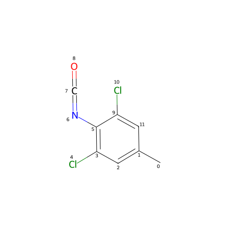 Cc1cc(Cl)c(N=C=O)c(Cl)c1